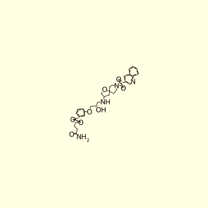 NC(=O)CCS(=O)(=O)c1cccc(OCC(O)CNC2COC3(CCN(S(=O)(=O)c4cnc5ccccc5c4)CC3)C2)c1